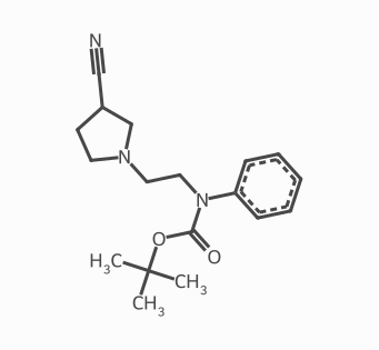 CC(C)(C)OC(=O)N(CCN1CCC(C#N)C1)c1ccccc1